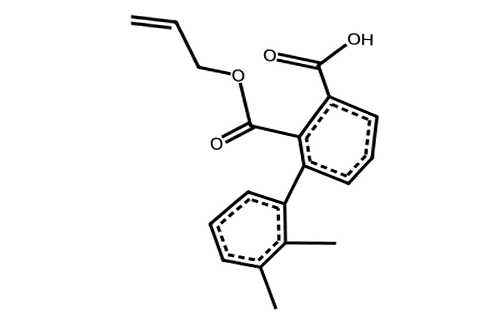 C=CCOC(=O)c1c(C(=O)O)cccc1-c1cccc(C)c1C